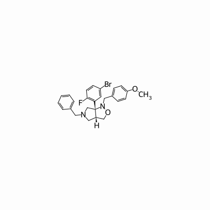 COc1ccc(CN2OC[C@@H]3CN(Cc4ccccc4)C[C@@]32c2cc(Br)ccc2F)cc1